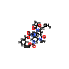 C=CC1=C(/C=C(\C)C(=O)N(C(C)C)[C@@H]2CCCN(C(=O)OC(C)(C)C)C2)N(CCNC(=O)OCc2ccccc2)C(=O)C2(CCC2)O1